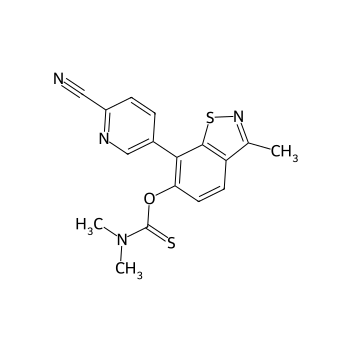 Cc1nsc2c(-c3ccc(C#N)nc3)c(OC(=S)N(C)C)ccc12